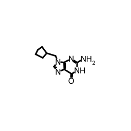 Nc1nc2c(ncn2CC2CCCC2)c(=O)[nH]1